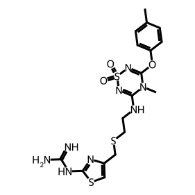 Cc1ccc(OC2=NS(=O)(=O)N=C(NCCSCc3csc(NC(=N)N)n3)N2C)cc1